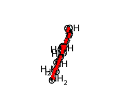 N[C@H](C=O)CCCCNC(=O)[C@@H](N)CCCCNC(=O)COCCOCCNC(=O)CC[C@H](NC(=O)CCCCCCCCCCOc1ccc(C(=O)O)cc1)C(=O)O